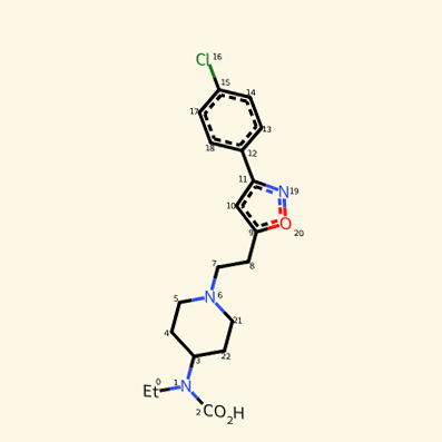 CCN(C(=O)O)C1CCN(CCc2cc(-c3ccc(Cl)cc3)no2)CC1